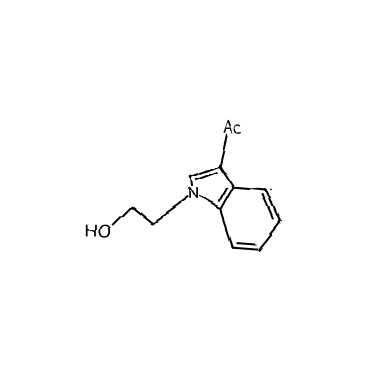 CC(=O)c1cn(CCO)c2ccc[c]c12